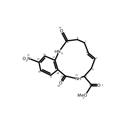 COC(=O)C1C/C=C/CCC(=O)Nc2cc([N+](=O)[O-])ccc2C(=O)N1